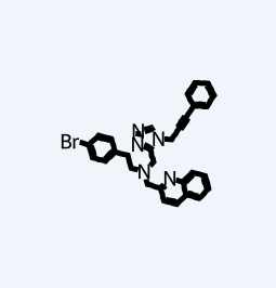 Brc1ccc(CCN(Cc2ccc3ccccc3n2)Cc2nncn2CC#Cc2ccccc2)cc1